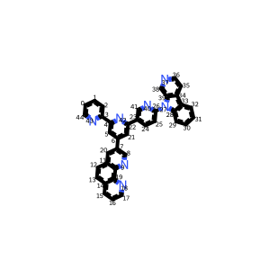 c1ccc(-c2cc(-c3cnc4c(ccc5cccnc54)c3)cc(-c3ccc(-n4c5ccccc5c5ccncc54)nc3)n2)nc1